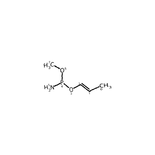 CC=COP(N)OC